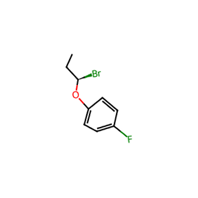 CC[C@@H](Br)Oc1ccc(F)cc1